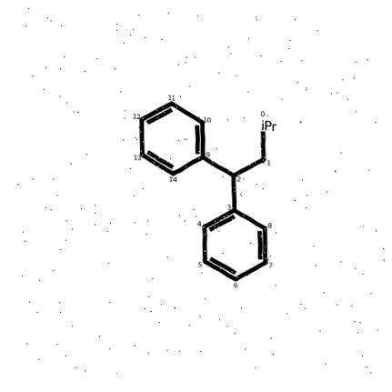 CC(C)[CH]C(c1ccccc1)c1ccccc1